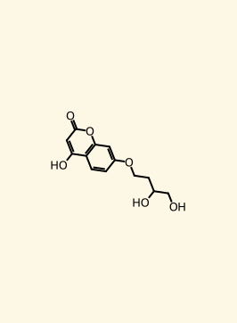 O=c1cc(O)c2ccc(OCCC(O)CO)cc2o1